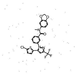 CN(C(=O)c1cccc(-n2nc(C(F)(F)F)cc2-c2ccc(Cl)s2)c1)c1ccc2c(c1)OCO2